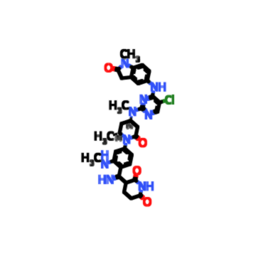 CNc1cc(N2C(=O)C[C@@H](N(C)c3ncc(Cl)c(Nc4ccc5c(c4)CC(=O)N5C)n3)C[C@H]2C)ccc1C(=N)C1CCC(=O)NC1=O